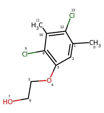 Cc1cc(OCCO)c(Cl)c(C)c1Cl